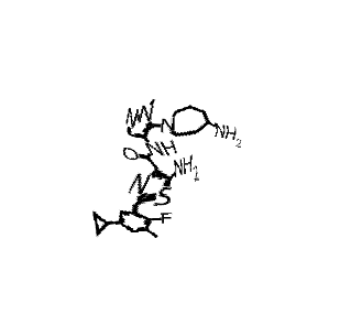 Cc1cc(C2CC2)cc(-c2nc(C(=O)Nc3cnn(C)c3N3CCCC(N)CC3)c(N)s2)c1F